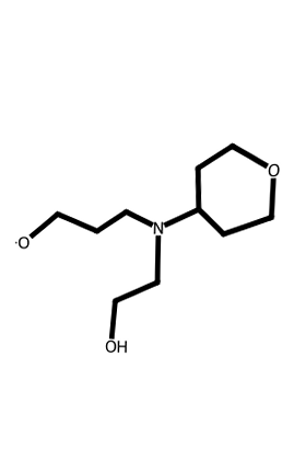 [O]CCCN(CCO)C1CCOCC1